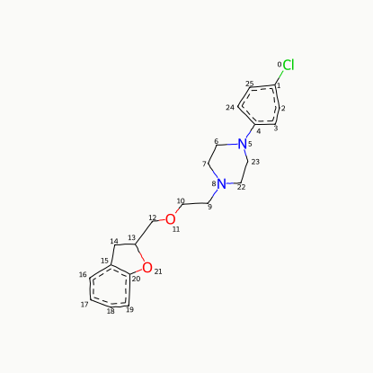 Clc1ccc(N2CCN(CCOCC3Cc4ccccc4O3)CC2)cc1